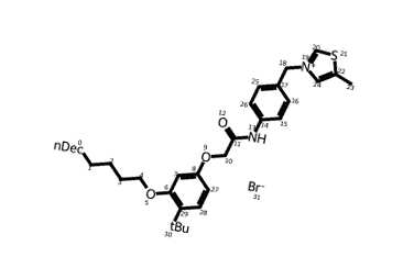 CCCCCCCCCCCCCCOc1cc(OCC(=O)Nc2ccc(C[n+]3csc(C)c3)cc2)ccc1C(C)(C)C.[Br-]